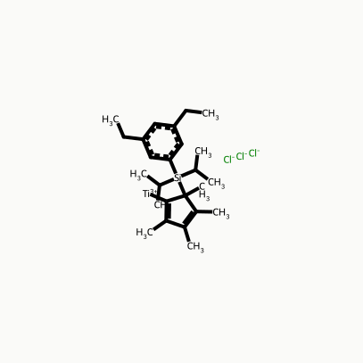 CCc1cc(CC)cc([Si](C(C)C)(C(C)C)C2(C)C(C)=C(C)C(C)=[C]2[Ti+3])c1.[Cl-].[Cl-].[Cl-]